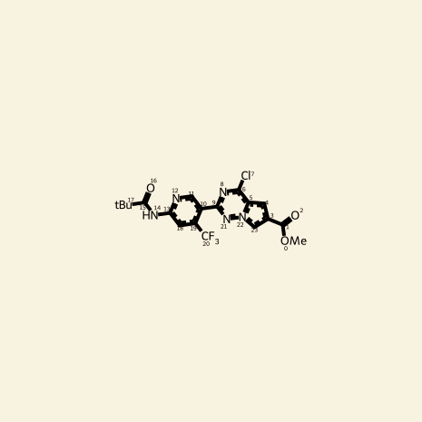 COC(=O)c1cc2c(Cl)nc(-c3cnc(NC(=O)C(C)(C)C)cc3C(F)(F)F)nn2c1